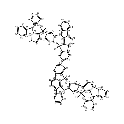 CC1(C)c2cc(-c3ccc4c(c3)C(C)(C)c3c-4ccc4c5ccccc5n(-c5ccc6c(c5)C(C)(C)c5c-6ccc6c7ccccc7n(-c7ccccc7)c56)c34)ccc2-c2ccc3c4ccccc4n(-c4ccc5c(c4)C(C)(C)c4c-5ccc5c6ccccc6n(-c6ccccc6)c45)c3c21